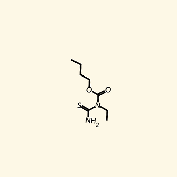 CCCCOC(=O)N(CC)C(N)=S